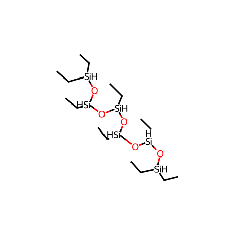 CC[SiH](CC)O[SiH](CC)O[SiH](CC)O[SiH](CC)O[SiH](CC)O[SiH](CC)CC